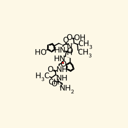 CC[C@H](C)[C@H](NC(=O)[C@H](Cc1ccc(O)cc1)NC(=O)[C@H](Cc1ccccc1)NC(=O)CNC(=O)[C@@H](NC(=O)CN)C(C)C)C(=O)O